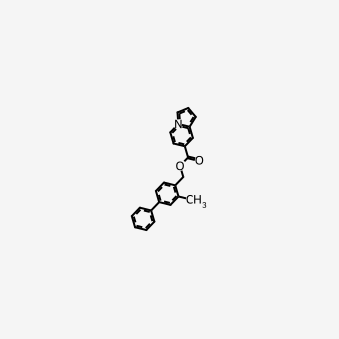 Cc1cc(-c2ccccc2)ccc1COC(=O)c1ccn2cccc2c1